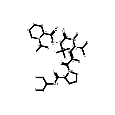 CCC(CC)NC(=O)[C@@H]1CCCN1C(=O)/C(C)=C/[C@H](C(C)C)N(C)C(=O)[C@@H](NC(=O)C1CCCCN1C(C)C)C(C)(C)C